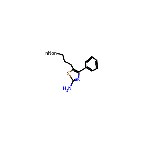 CCCCCCCCCCCCc1sc(N)nc1-c1ccccc1